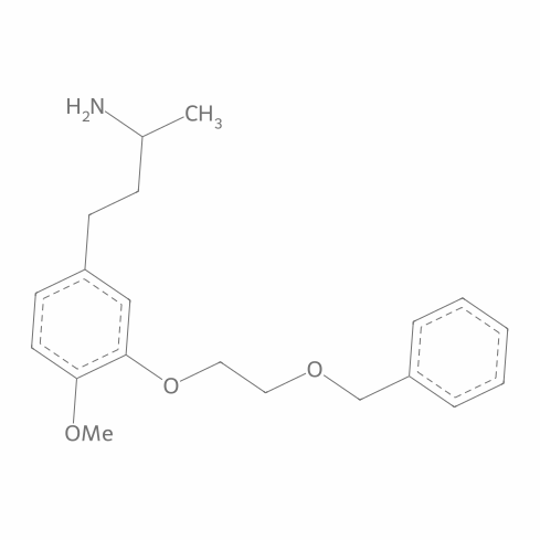 COc1ccc(CCC(C)N)cc1OCCOCc1ccccc1